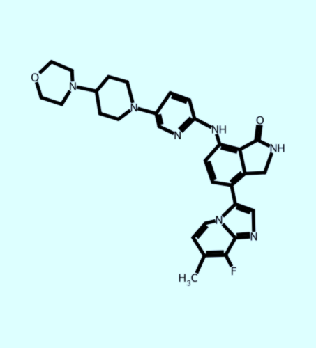 Cc1ccn2c(-c3ccc(Nc4ccc(N5CCC(N6CCOCC6)CC5)cn4)c4c3CNC4=O)cnc2c1F